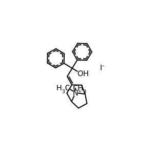 C[N+]1(C)C2CCC1CC(=CC(O)(c1ccccc1)c1ccccc1)C2.[I-]